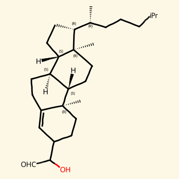 CC(C)CCC[C@@H](C)[C@H]1CC[C@H]2[C@@H]3CCC4=CC(C(O)C=O)CC[C@]4(C)[C@H]3CC[C@]12C